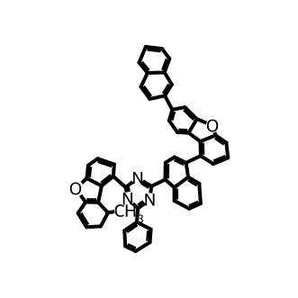 CC1CC=Cc2oc3cccc(-c4nc(-c5ccccc5)nc(-c5ccc(-c6cccc7oc8cc(-c9ccc%10ccccc%10c9)ccc8c67)c6ccccc56)n4)c3c21